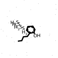 CCCCc1ccccc1O.S.S.S.S